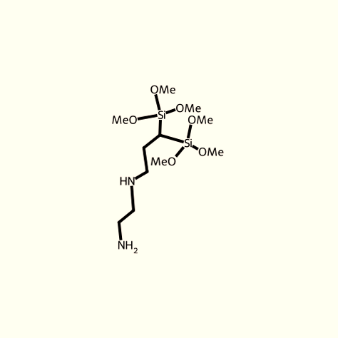 CO[Si](OC)(OC)C(CCNCCN)[Si](OC)(OC)OC